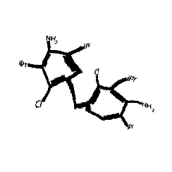 CC(C)c1cc(Cc2cc(C(C)C)c(N)c(C(C)C)c2Cl)c(Cl)c(C(C)C)c1N